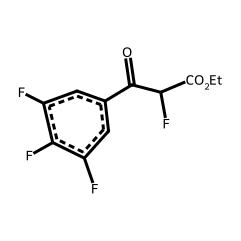 CCOC(=O)C(F)C(=O)c1cc(F)c(F)c(F)c1